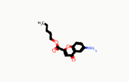 CCCCCOC(=O)c1cc(=O)c2cc(N)ccc2o1